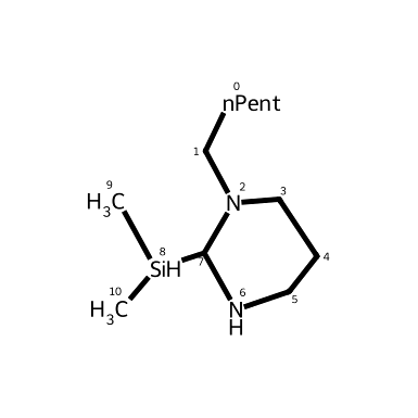 CCCCCCN1CCCNC1[SiH](C)C